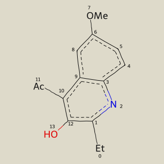 CCc1nc2ccc(OC)cc2c(C(C)=O)c1O